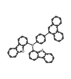 c1ccc2c(c1)cc(-c1ccc(N(c3cccc4c3oc3ccccc34)c3cccc4c3sc3ccccc34)cc1)c1ccccc12